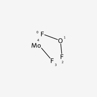 FOF.[F][Mo]